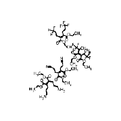 CCOC(=O)C(=C(C(=O)OCC)C(C)C(F)(F)F)C(C)C(F)(F)F.CCOC(=O)C(CCC#N)=C(CCC#N)C(=O)OCC.CCOC(=O)C(CCC(F)(F)F)=C(CCC(F)(F)F)C(=O)OCC.CCOC(=O)C(CCCN)=C(CCCN)C(=O)OCC